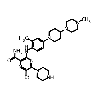 CCc1nc(C(N)=O)c(Nc2ccc(N3CCC(N4CCN(C)CC4)CC3)cc2C)nc1N1CCNCC1